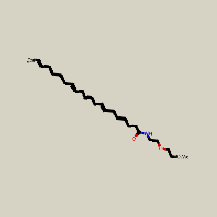 CCC=CCC=CCC=CCC=CCC=CCC=CCCC(=O)NCCOCCOC